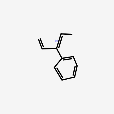 [CH]=C/C(=C/C)c1ccccc1